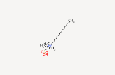 CCCCCCCCCCCCCCCC[N+](C)(C)C(C)CCS(=O)(=O)O